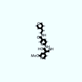 COc1cc(/C(C=N)=C(\O)Nc2ccc(C(=O)NCCC3CCOCC3)cn2)ccn1